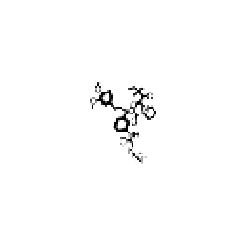 CCC(C)(C)C(=O)C(=O)N1CCCC[C@H]1C(=O)O[C@H](CCc1ccc(OC)c(OC)c1)c1cccc(NC(=O)CN=[N+]=[N-])c1